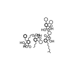 CC(C)CCCCCc1cccc(C(=O)OC2CCCCC2)c1C(=O)O.CCCCc1ccc(C(=O)O)c(C(=O)O)c1C1CCCCC1.CCCCc1ccc(C(=O)O)c(C(=O)O)c1Cc1ccccc1.O=C(O)c1ccc(C2CCCCC2)c(C2CCCCC2)c1C(=O)O